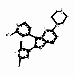 Cc1cc(-c2nc3ccc(N4CCNCC4)nn3c2-c2ccnc(N)c2)c(C)s1